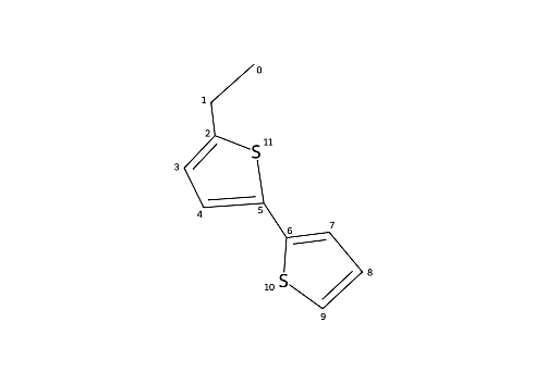 CCc1ccc(-c2cccs2)s1